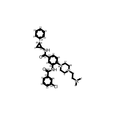 CN(C)CCN1CCN(c2ccc(C(=O)NC3C[C@@H]3c3ccccc3)cc2NC(=O)c2cccc(Cl)c2)CC1